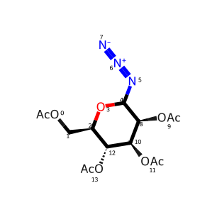 CC(=O)OC[C@H]1OC(N=[N+]=[N-])[C@@H](OC(C)=O)[C@@H](OC(C)=O)[C@@H]1OC(C)=O